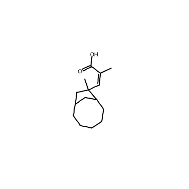 CC(=CC1(C)CC2CCCCCC1C2)C(=O)O